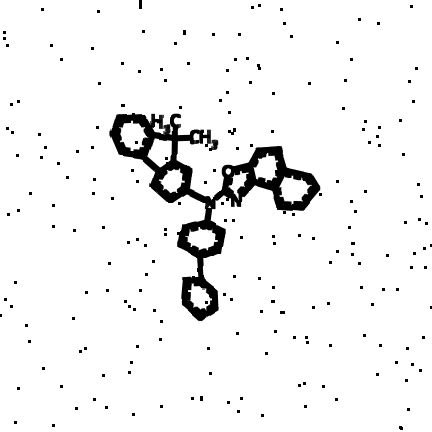 CC1(C)c2ccccc2-c2ccc(N(c3ccc(-c4ccccc4)cc3)c3nc4c(ccc5ccccc54)o3)cc21